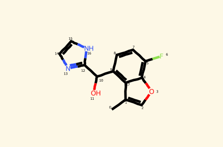 Cc1coc2c(F)ccc(C(O)c3ncc[nH]3)c12